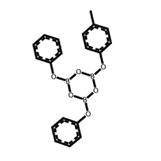 Cc1ccc(OB2OB(Oc3ccccc3)OB(Oc3ccccc3)O2)cc1